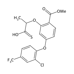 COC(=O)c1ccc(Oc2ccc(C(F)(F)F)cc2Cl)cc1OC(C)C(O)=S